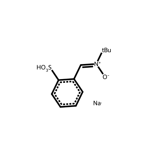 CC(C)(C)[N+]([O-])=Cc1ccccc1S(=O)(=O)O.[Na]